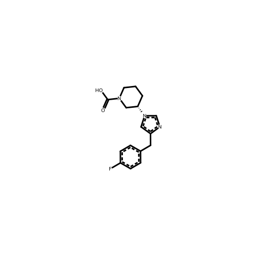 O=C(O)N1CCC[C@H](n2cnc(Cc3ccc(F)cc3)c2)C1